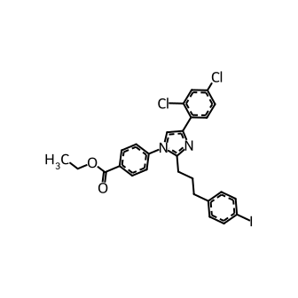 CCOC(=O)c1ccc(-n2cc(-c3ccc(Cl)cc3Cl)nc2CCCc2ccc(I)cc2)cc1